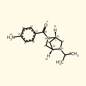 CC(C)N1C[C@@H]2C[C@H]1CN2C(=O)c1ccc(N)cc1